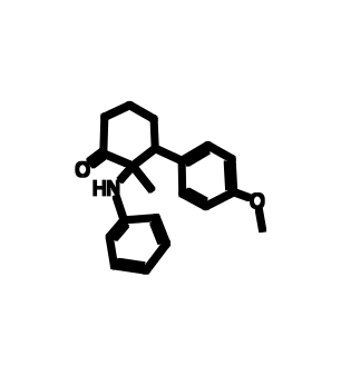 COc1ccc(C2CCCC(=O)C2(C)Nc2ccccc2)cc1